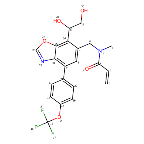 C=CC(=O)N(C)Cc1cc(-c2ccc(OC(F)(F)F)cc2)c2ncoc2c1C(O)CO